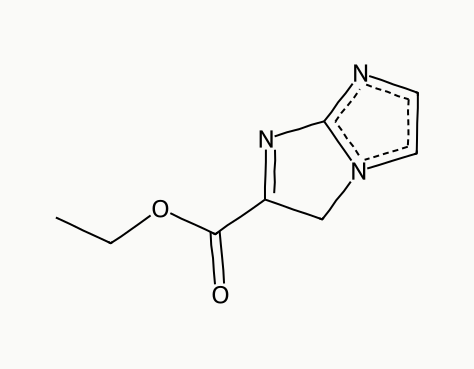 CCOC(=O)C1=Nc2nccn2C1